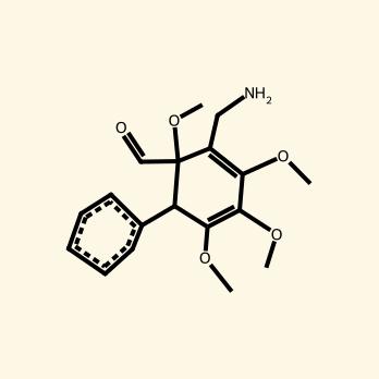 COC1=C(OC)C(c2ccccc2)C(C=O)(OC)C(CN)=C1OC